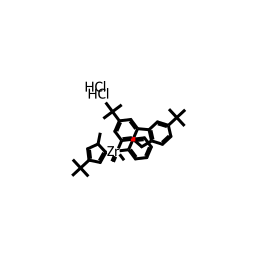 Cl.Cl.[CH2]=[Zr]([CH3])([C]1=CC(C(C)(C)C)=CC1C)([c]1ccccc1)[c]1cc(C(C)(C)C)cc2c1Cc1ccc(C(C)(C)C)cc1-2